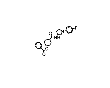 O=C1OC2(CCC(C(=O)N[C@H]3CCN(c4ccc(F)cc4)C3)CC2)c2ccccc21